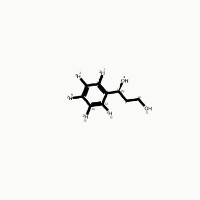 [2H]c1c([2H])c([2H])c([C@@H](O)CCO)c([2H])c1[2H]